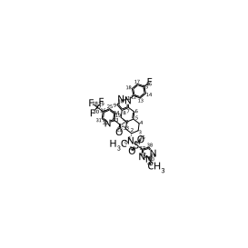 CN([C@H]1CCC2=Cc3c(cnn3-c3ccc(F)cc3)C[C@]2(C(=O)c2ccc(C(F)(F)F)cn2)C1)S(=O)(=O)c1cnn(C)n1